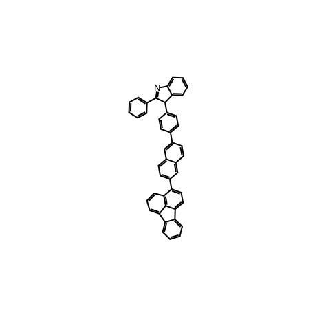 c1ccc(C2=Nc3ccccc3C2c2ccc(-c3ccc4cc(-c5ccc6c7c(cccc57)-c5ccccc5-6)ccc4c3)cc2)cc1